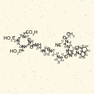 C=CC(=O)N1CCN(c2nc(OC[C@@H]3CCCN3CCCN3CCN(CCCNC(=O)CN4CCN(CC(=O)O)CCN(CC(=O)O)CCN(CC(=O)O)CC4)CC3)nc3c2CCN(c2cccc4cccc(Cl)c24)C3)C[C@@H]1CC#N